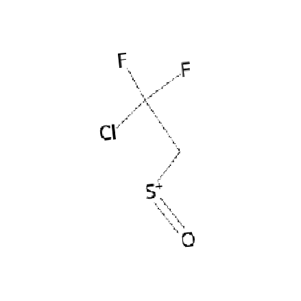 O=[S+]CC(F)(F)Cl